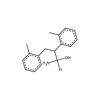 CCC(N)(O)C(Cc1ccccc1C)c1ccccc1C